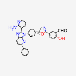 Nc1ncccc1-c1nc2ccc(-c3ccccc3)nc2n1-c1ccc([C@@H]2CN=C(c3ccc(O)c(C=O)c3)O2)cc1